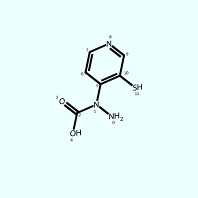 NN(C(=O)O)c1ccncc1S